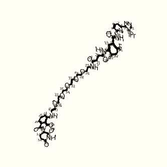 CC(C)n1cnnc1-c1cccc(NC(=O)c2cc(NC(=O)CCC(=O)NCCOCCOCCOCCOCCOCCNc3cccc4c3C(=O)N(C3CCC(=O)NC3=O)C4=O)c(F)cc2F)n1